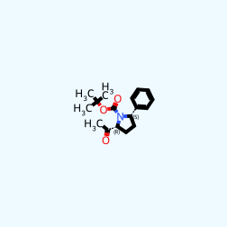 CC(=O)[C@H]1CC[C@@H](c2ccccc2)N1C(=O)OC(C)(C)C